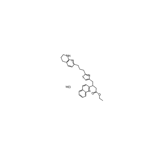 CCOC(=O)CC(Cc1csc(CCCc2ccc3c(n2)NCCC3)n1)c1ccc2ccccc2n1.Cl